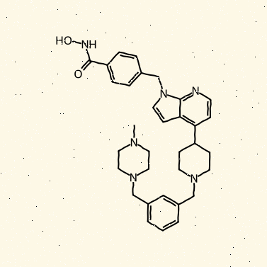 CN1CCN(Cc2cccc(CN3CCC(c4ccnc5c4ccn5Cc4ccc(C(=O)NO)cc4)CC3)c2)CC1